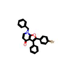 O=c1ccn(Cc2ccccc2)c2oc(-c3ccc(Br)cc3)c(-c3ccccc3)c12